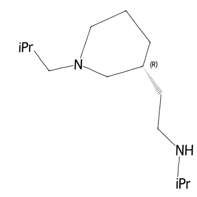 CC(C)CN1CCC[C@H](CCNC(C)C)C1